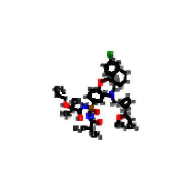 C=CCOC(C)(C)C(=O)N=S(=O)(NC(=O)C(C)C)c1ccc2c(c1)N(C[C@@H]1CC[C@H]1C(C=C)OC)C[C@@]1(CCCc3cc(Cl)ccc31)CO2